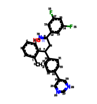 Cc1ccccc1C(C/C(=N\O)c1cc(F)cc(F)c1)c1ccc(-c2cncnc2)cc1